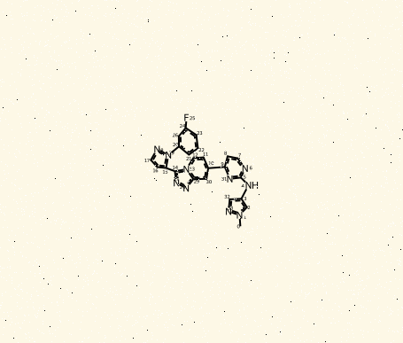 Cn1cc(Nc2nccc(-c3ccn4c(-c5ccnn5-c5cccc(F)c5)nnc4c3)n2)cn1